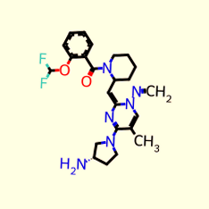 C=NN1C=C(C)C(N2CC[C@H](N)C2)=N/C1=C/C1CCCCN1C(=O)c1ccccc1OC(F)F